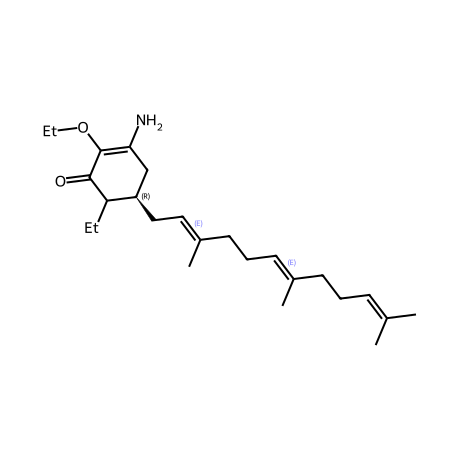 CCOC1=C(N)C[C@@H](C/C=C(\C)CC/C=C(\C)CCC=C(C)C)C(CC)C1=O